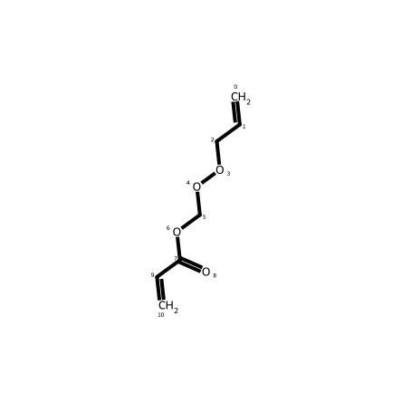 C=CCOOCOC(=O)C=C